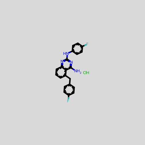 Cl.Nc1nc(Nc2ccc(F)cc2)nc2cccc(Cc3ccc(F)cc3)c12